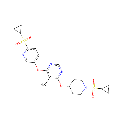 Cc1c(Oc2ccc(S(=O)(=O)C3CC3)nc2)ncnc1OC1CCN(S(=O)(=O)C2CC2)CC1